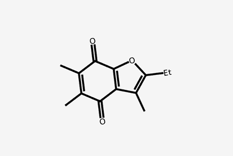 CCc1oc2c(c1C)C(=O)C(C)=C(C)C2=O